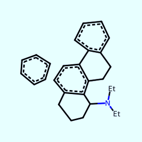 CCN(CC)C1CCCc2ccc3c(c21)CCc1ccccc1-3.c1ccccc1